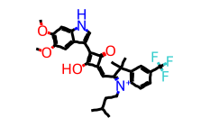 COc1cc2[nH]cc(C3=C(O)/C(=C/C4=[N+](CCC(C)C)c5ccc(C(F)(F)F)cc5C4(C)C)C3=O)c2cc1OC